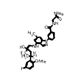 CNC(=O)CNC(=O)c1cccc(-n2ncc3c(NCC(O)(CC(C)(C)c4cc(F)ccc4OC)C(F)(F)F)cc(C)cc32)c1